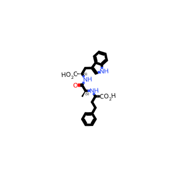 C[C@H](NC(CCc1ccccc1)C(=O)O)C(=O)N[C@@H](Cc1c[nH]c2ccccc12)C(=O)O